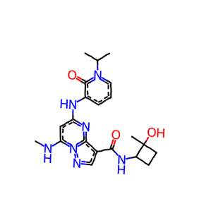 CNc1cc(Nc2cccn(C(C)C)c2=O)nc2c(C(=O)NC3CCC3(C)O)cnn12